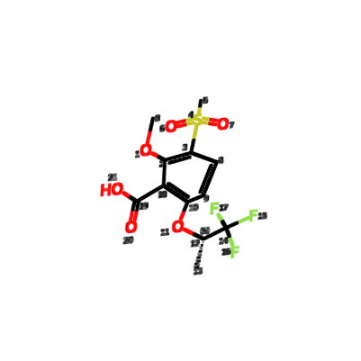 COc1c(S(C)(=O)=O)ccc(O[C@@H](C)C(F)(F)F)c1C(=O)O